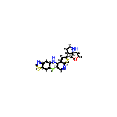 Fc1cc2scnc2cc1Nc1ccnc2sc([C@H]3CCNC34CCOC4)cc12